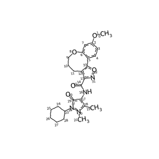 COc1ccc2c(c1)OCCCc1c(C(=O)Nc3c(C)n(C)n(C4CCCCC4)c3=O)noc1-2